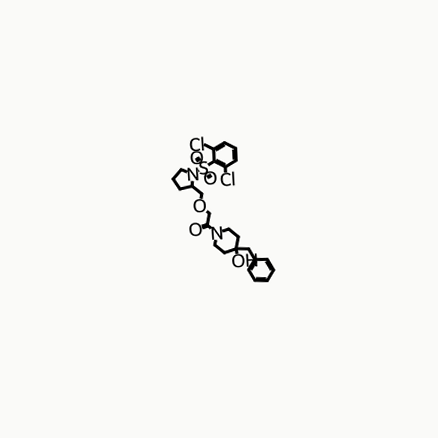 O=C(COCC1CCCN1S(=O)(=O)c1c(Cl)cccc1Cl)N1CCC(O)(Cc2ccccc2)CC1